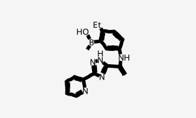 C=C(Nc1ccc(CC)c(B(C)O)c1)c1nc(-c2ccccn2)n[nH]1